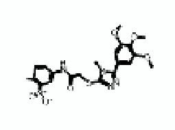 COc1cc(-c2nnc(SCC(=O)Nc3ccc(C)c([N+](=O)[O-])c3)n2C)cc(OC)c1OC